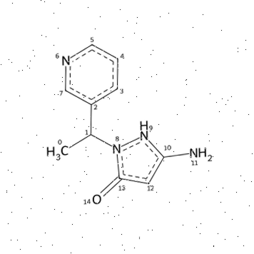 CC(c1cccnc1)n1[nH]c(N)cc1=O